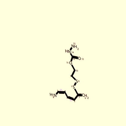 C=C(/C=C\C=C/N)SSCCOC(=O)NN